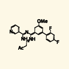 COC1=CC(c2ccc(F)cc2F)=C/C(=C(/N=C(\N)c2cccnc2)NCCC(C)=O)C1